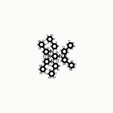 c1ccc(-c2cccc(N3c4cc(-c5ccccc5)ccc4B4c5ccc(-c6ccccc6)cc5N(c5cccc(-c6ccccc6)c5)c5cc(-n6c7ccc(-c8ccccc8)cc7c7cc(-c8ccccc8)ccc76)cc3c54)c2)cc1